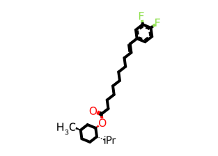 CC(C)[C@@H]1CC[C@@H](C)C[C@H]1OC(=O)CCCCCCCC/C=C/c1ccc(F)c(F)c1